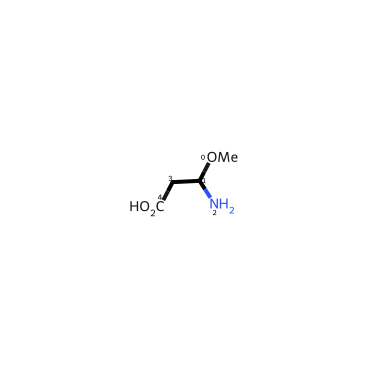 COC(N)CC(=O)O